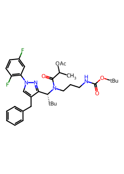 CC(=O)OC(C)C(=O)N(CCCNC(=O)OC(C)(C)C)[C@@H](c1nn(-c2cc(F)ccc2F)cc1Cc1ccccc1)C(C)(C)C